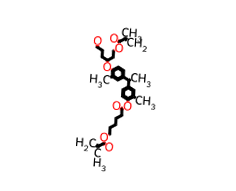 C=C(C)C(=O)OCCCCCC(=O)Oc1ccc(C(C)c2ccc(OC(CCC=O)CCOC(=O)C(=C)C)c(C)c2)cc1C